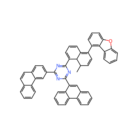 CC1C=CC(c2cccc3oc4ccccc4c23)=C2C=CC=C(c3nc(-c4ccc5ccc6ccccc6c5c4)nc(-c4cc5ccccc5c5ccccc45)n3)C21